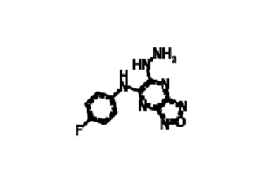 NNc1nc2nonc2nc1Nc1ccc(F)cc1